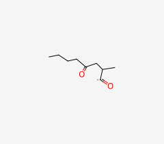 CCCCC(=O)CC(C)[C]=O